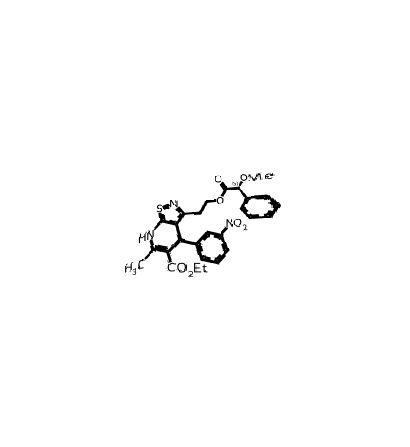 CCOC(=O)C1=C(C)Nc2snc(CCOC(=O)[C@@H](OC)c3ccccc3)c2C1c1cccc([N+](=O)[O-])c1